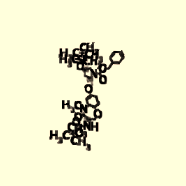 CN1C(=O)[C@@H](NC(=O)OC(C)(C)C)COc2ccc(OC[C@@H]3C[C@@H](O[Si](C)(C)C(C)(C)C)CN3C(=O)OCc3ccccc3)cc21